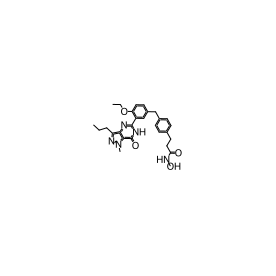 CCCc1nn(C)c2c(=O)[nH]c(-c3cc(Cc4ccc(CCC(=O)NO)cc4)ccc3OCC)nc12